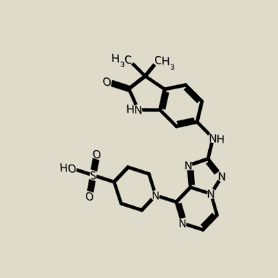 CC1(C)C(=O)Nc2cc(Nc3nc4c(N5CCC(S(=O)(=O)O)CC5)nccn4n3)ccc21